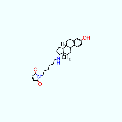 C[C@]12CCC3c4ccc(O)cc4CC[C@H]3C1CC[C@@H]2NCCCCCCN1C(=O)C=CC1=O